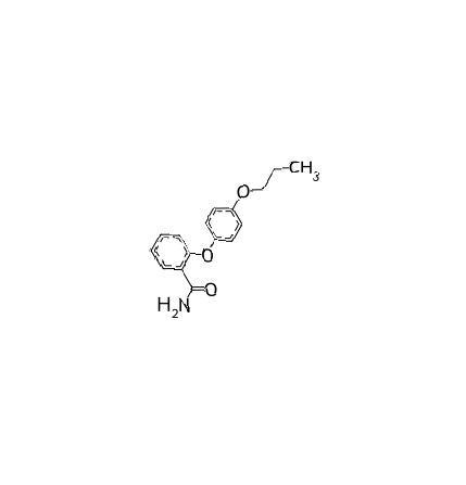 CCCOc1ccc(Oc2ccccc2C(N)=O)cc1